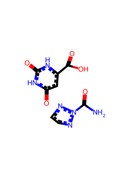 NC(=O)n1nccn1.O=C(O)c1cc(=O)[nH]c(=O)[nH]1